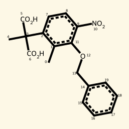 Cc1c(C(C)(C(=O)O)C(=O)O)ccc([N+](=O)[O-])c1OCc1ccccc1